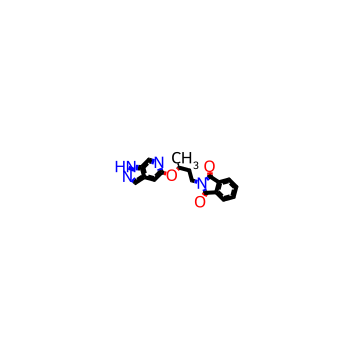 C[C@H](CCN1C(=O)c2ccccc2C1=O)Oc1cc2cn[nH]c2cn1